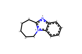 c1ccc2c(c1)nc1n2CCCCC1